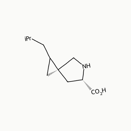 CC(C)CC1C[C@@]12CN[C@H](C(=O)O)C2